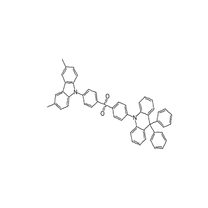 Cc1ccc2c(c1)c1cc(C)ccc1n2-c1ccc(S(=O)(=O)c2ccc(N3c4ccccc4C(c4ccccc4)(c4ccccc4)c4ccccc43)cc2)cc1